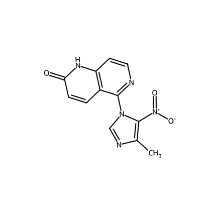 Cc1ncn(-c2nccc3[nH]c(=O)ccc23)c1[N+](=O)[O-]